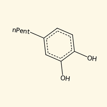 [CH2]CCCCc1ccc(O)c(O)c1